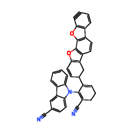 N#CC1=C(n2c3ccccc3c3cc(C#N)ccc32)C(C2C=Cc3oc4c(ccc5c6ccc#cc6oc54)c3C2)=CCC1